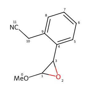 COC1OC1c1ccccc1CC#N